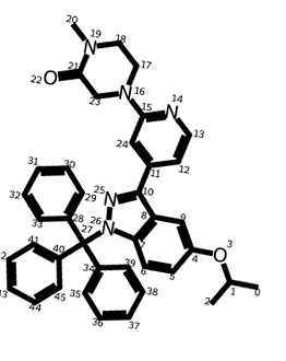 CC(C)Oc1ccc2c(c1)c(-c1ccnc(N3CCN(C)C(=O)C3)c1)nn2C(c1ccccc1)(c1ccccc1)c1ccccc1